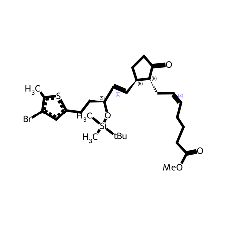 COC(=O)CCC/C=C\C[C@H]1C(=O)CC[C@@H]1/C=C/[C@H](CCc1cc(Br)c(C)s1)O[Si](C)(C)C(C)(C)C